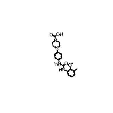 COc1c(C)cccc1NC(=O)Nc1ccc(N2CCN(C(=O)O)CC2)cc1